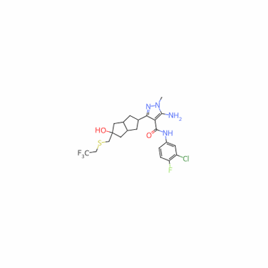 Cn1nc(C2CC3CC(O)(CSCC(F)(F)F)CC3C2)c(C(=O)Nc2ccc(F)c(Cl)c2)c1N